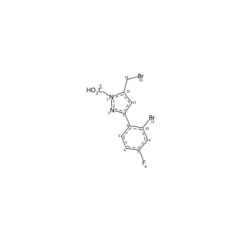 O=C(O)n1nc(-c2ccc(F)cc2Br)cc1CBr